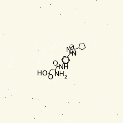 N[C@@H](CC(=O)O)C(=O)Nc1ccc(-c2noc(C3CCCC3)n2)cc1